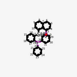 CP(C)c1cccc2cccc([SiH2]c3ccccc3P(c3ccccc3)c3ccccc3)c12